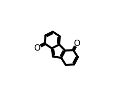 O=C1C=CC=C2C1=CC1=C2C(=O)C=CC1